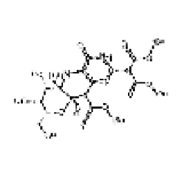 CC(C)(C)OC(=O)N(C(=O)OC(C)(C)C)c1nc2c(c(=O)[nH]1)N[C@H]1[C@@H](O)[C@@H](O)[C@@H](CO)O[C@H]1N2C(=O)OC(C)(C)C